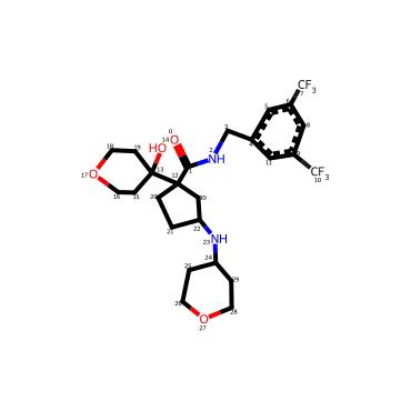 O=C(NCc1cc(C(F)(F)F)cc(C(F)(F)F)c1)C1(C2(O)CCOCC2)CCC(NC2CCOCC2)C1